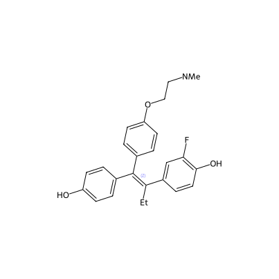 CC/C(=C(\c1ccc(O)cc1)c1ccc(OCCNC)cc1)c1ccc(O)c(F)c1